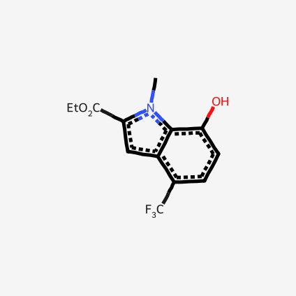 CCOC(=O)c1cc2c(C(F)(F)F)ccc(O)c2n1C